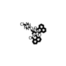 CC(COc1nnc(Cl)nn1)(CN1C(=O)c2cccc3cccc(c23)C1=O)CN1C(=O)c2cccc3cccc(c23)C1=O